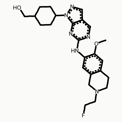 COc1cc2c(cc1Nc1ncc3cnn(C4CCC(CO)CC4)c3n1)CN(CCF)CC2